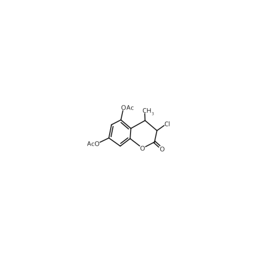 CC(=O)Oc1cc(OC(C)=O)c2c(c1)OC(=O)C(Cl)C2C